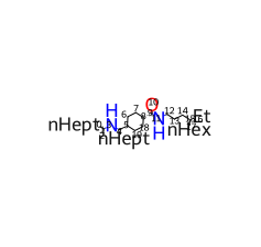 CCCCCCCC(CCCCCCC)NC[C@H]1CC[C@H](C(=O)NCCCC(CC)CCCCCC)CC1